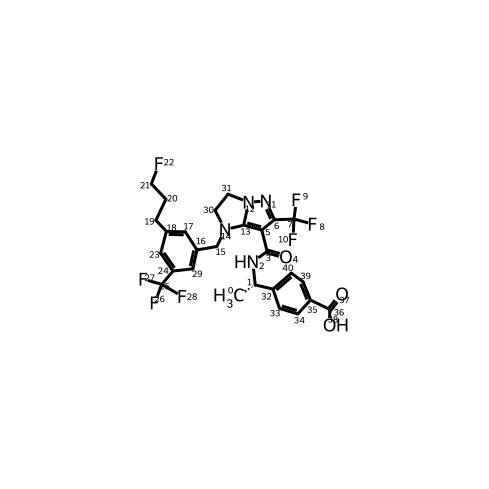 C[C@H](NC(=O)c1c(C(F)(F)F)nn2c1N(Cc1cc(CCCF)cc(C(F)(F)F)c1)CC2)c1ccc(C(=O)O)cc1